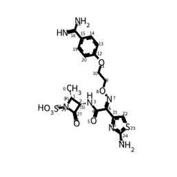 C[C@@H]1[C@H](NC(=O)C(=NOCCOc2ccc(C(=N)N)cc2)c2csc(N)n2)C(=O)N1S(=O)(=O)O